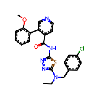 CCN(Cc1ccc(Cl)cc1)c1nnc(NC(=O)c2ccncc2-c2ccccc2OC)s1